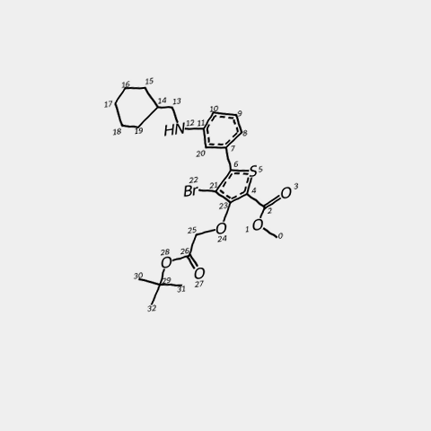 COC(=O)c1sc(-c2cccc(NCC3CCCCC3)c2)c(Br)c1OCC(=O)OC(C)(C)C